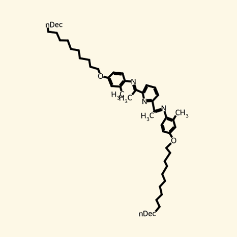 CCCCCCCCCCCCCCCCCCCCOc1ccc(/N=C(\C)c2cccc(/C(C)=N/c3ccc(OCCCCCCCCCCCCCCCCCCCC)cc3C)n2)c(C)c1